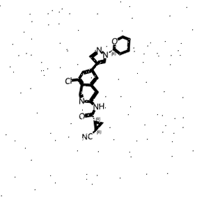 N#C[C@@H]1C[C@H]1C(=O)Nc1cc2cc(-c3cnn([C@H]4CCCCO4)c3)cc(Cl)c2cn1